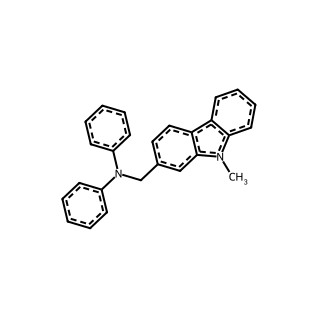 Cn1c2ccccc2c2ccc(CN(c3ccccc3)c3ccccc3)cc21